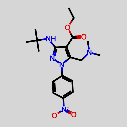 CCOC(=O)c1c(NC(C)(C)C)nn(-c2ccc([N+](=O)[O-])cc2)c1CN(C)C